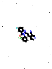 N#Cc1cnccc1C=Cc1nc2ccc(F)cc2c(=O)n1-c1ccccc1Cl